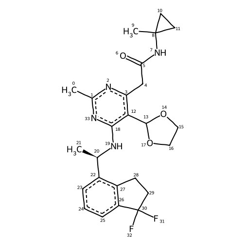 Cc1nc(CC(=O)NC2(C)CC2)c(C2OCCO2)c(N[C@H](C)c2cccc3c2CCC3(F)F)n1